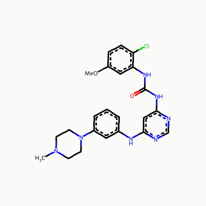 COc1ccc(Cl)c(NC(=O)Nc2cc(Nc3cccc(N4CCN(C)CC4)c3)ncn2)c1